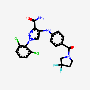 NC(=O)c1nn(-c2c(Cl)cccc2Cl)cc1Nc1ccc(C(=O)N2CCC(F)(F)C2)cc1